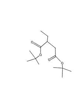 CCC(CC(=O)OC(C)(C)C)C(=O)OC(C)(C)C